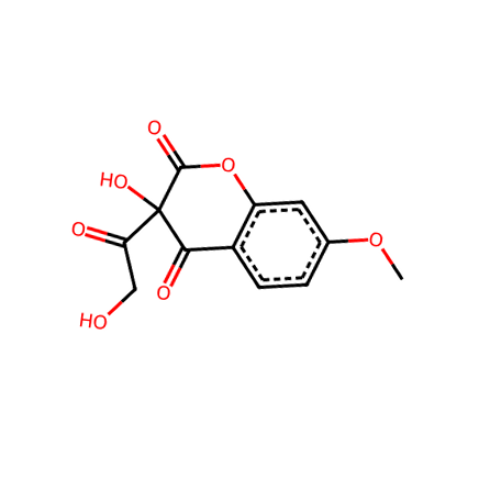 COc1ccc2c(c1)OC(=O)C(O)(C(=O)CO)C2=O